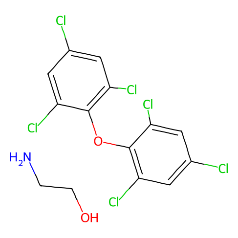 Clc1cc(Cl)c(Oc2c(Cl)cc(Cl)cc2Cl)c(Cl)c1.NCCO